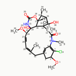 COC1CC2=CC(=C1Cl)N(C)C(=O)C[C@@]1(C)C3[C@H](OC(=O)N[C@@]3(O)[C@H](OC)/C=C/C=C(\C)C2)[C@@H](C)C[C@@]1(C)O